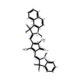 CN1/C(=C\C2=C(O)C(/C=C3\N(C)c4ccc5ccccc5c4C3(C)C)=C(O)C2=O)C(C)(C)c2ccccc21